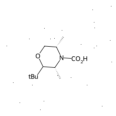 C[C@@H]1C(C(C)(C)C)OC[C@H](C)N1C(=O)O